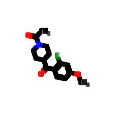 COc1ccc(C(=O)C2CCN(C(C)=O)CC2)c(F)c1